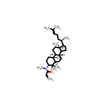 C=CC(=O)N(C)[C@H]1CC[C@]2(C)[C@H]3CC[C@]4(C)C([C@H](C)CCC=C(C)C)CC[C@H]4[C@@H]3CC[C@H]2C1(C)C